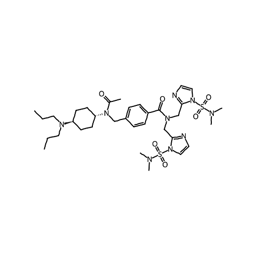 CCCN(CCC)[C@H]1CC[C@H](N(Cc2ccc(C(=O)N(Cc3nccn3S(=O)(=O)N(C)C)Cc3nccn3S(=O)(=O)N(C)C)cc2)C(C)=O)CC1